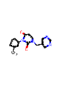 O=c1ccn(Cc2cncnc2)c(=O)n1-c1cccc(C(F)(F)F)c1